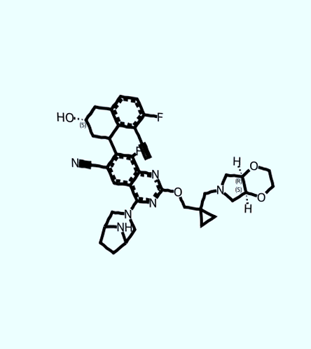 C#Cc1c(F)ccc2c1C(c1c(C#N)cc3c(N4CC5CCC(C4)N5)nc(OCC4(CN5C[C@@H]6OCCO[C@@H]6C5)CC4)nc3c1F)C[C@H](O)C2